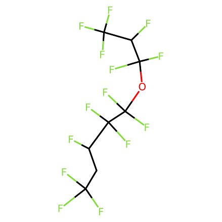 FC(C(F)(F)F)C(F)(F)OC(F)(F)C(F)(F)C(F)CC(F)(F)F